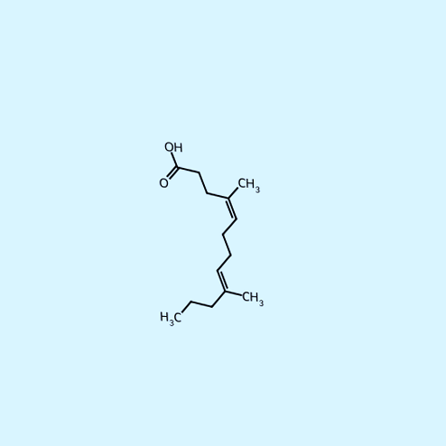 CCCC(C)=CCCC=C(C)CCC(=O)O